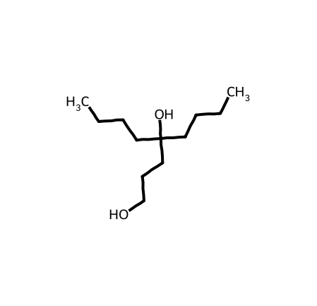 CCCCC(O)(CCCC)CCCO